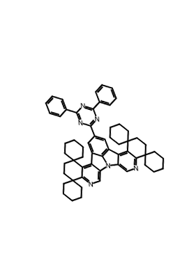 c1ccc(-c2nc(-c3ccccc3)nc(-c3cc4c5c6c(ncc5n5c7cnc8c(c7c(c3)c45)C3(CCCCC3)CCC83CCCCC3)C3(CCCCC3)CCC63CCCCC3)n2)cc1